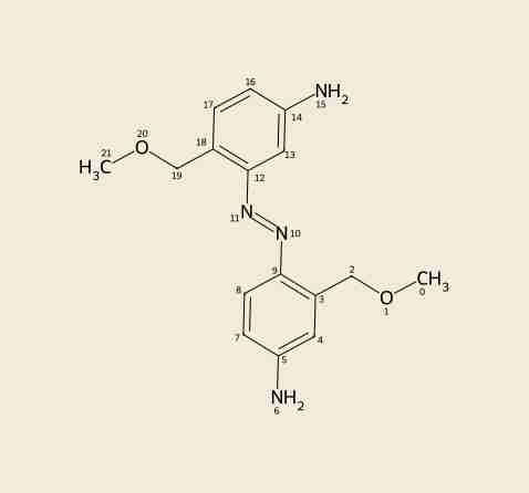 COCc1cc(N)ccc1/N=N/c1cc(N)ccc1COC